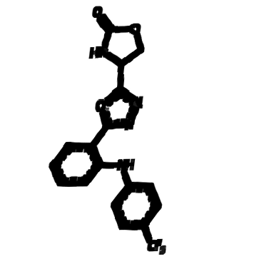 O=C1NC(c2nnc(-c3ccccc3Nc3ccc(C(F)(F)F)cc3)o2)CO1